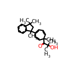 CC(C)(O)C(=O)C1(C)C=CC=C(C2(C)CC(C)(C)c3ccccc32)C=C1